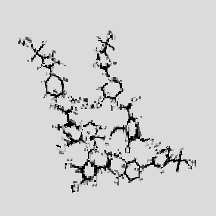 CCc1nc(C(=O)N[C@@H]2CCN(c3nnc(C(C)(C)O)s3)C[C@@H]2OC)n(COP(=O)(OCn2c(C(=O)N[C@@H]3CCN(c4nnc(C(C)(C)O)s4)C[C@@H]3OC)nc(CC)c2Cl)OCn2c(C(=O)N[C@@H]3CCN(c4nnc(C(C)(C)O)s4)C[C@@H]3OC)nc(CC)c2Cl)c1Cl